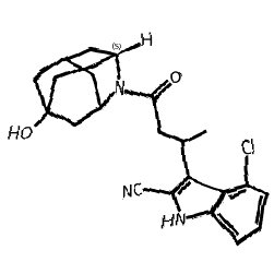 CC(CC(=O)N1C2CC3C[C@H]1CC(O)(C3)C2)c1c(C#N)[nH]c2cccc(Cl)c12